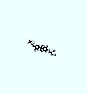 CCC(CC)(c1ccc(CC(=O)OC(C)(C)C)c(C)c1)c1ccc(OC[C@H](O)CO)c(C)c1